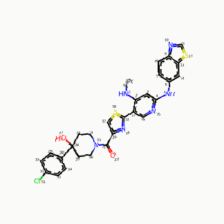 CC(C)Nc1cc(Nc2ccc3ncsc3c2)ncc1-c1nc(C(=O)N2CCC(O)(c3ccc(Cl)cc3)CC2)cs1